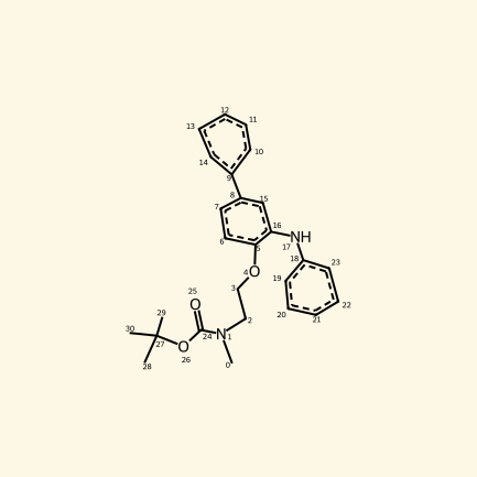 CN(CCOc1ccc(-c2ccccc2)cc1Nc1ccccc1)C(=O)OC(C)(C)C